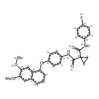 COc1cc2nccc(Oc3ccc(NC(=O)C4(C(=O)Nc5ccc(F)cc5)CC4)cc3)c2cc1OC(C)(C)C